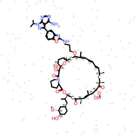 CO[C@@H]1C[C@@H](CC(C)[C@@H]2CC(=O)[C@H](C)/C=C(\C)[C@@H](O)[C@@H](OC)C(=O)[C@H](C)C[C@H](C)/C=C/C=C/C=C(/C)[C@H](OCCCNc3nc4cc(-c5nn(C(C)C)c6ncnc(N)c56)ccc4o3)C[C@@H]3CC[C@@H](C)[C@@](O)(O3)C(=O)C(=O)N3CCCCC3C(=O)O2)CC[C@H]1O